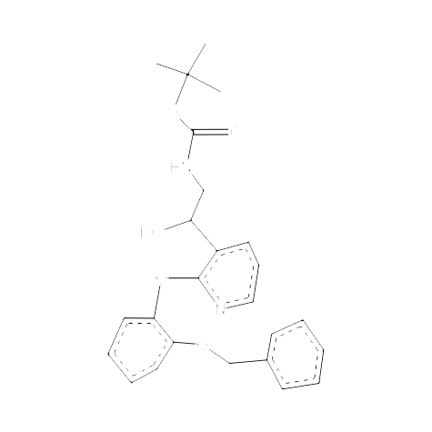 CC(C)(C)OC(=O)NCC(O)c1cccnc1Oc1ccccc1OCc1ccccc1